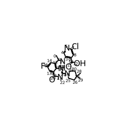 CC(Nc1cnc(Cl)cc1C(=O)O)c1cc(F)cc2c(=O)n(C)c(N3CCC(C)(C)CC3)nc12